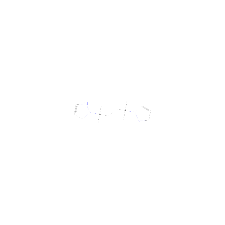 CC(C)(CCC(C)(C)N1CC=CN1)N1C=CCN1